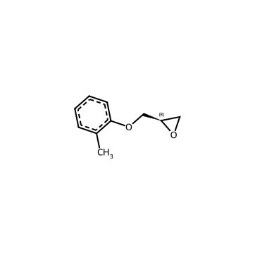 Cc1ccccc1OC[C@H]1CO1